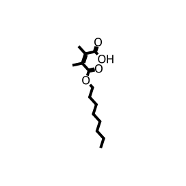 CCCCCCCCOC(=O)/C(C)=C(/C)C(=O)O